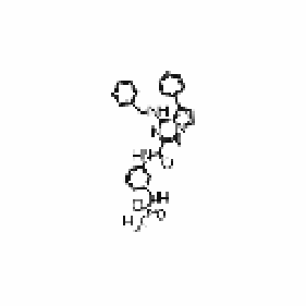 CS(=O)(=O)Nc1cccc(NC(=O)c2nc(NCc3ccccc3)c3c(-c4ccccc4)ccn3n2)c1